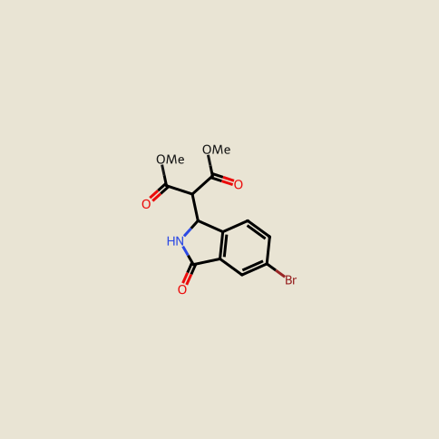 COC(=O)C(C(=O)OC)C1NC(=O)c2cc(Br)ccc21